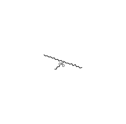 CCCCCCCCCCCN(CCCCCCCCCCC)C(=O)OCCCC